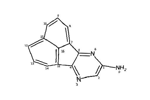 Nc1cnc2c(n1)-c1cccc3cccc-2c13